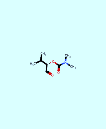 CC(C)[C@@H](C=O)OC(=O)N(C)C